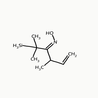 C=CC(C)C(=NO)C(C)(C)[SiH3]